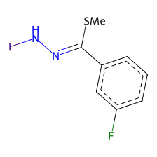 CSC(=NNI)c1cccc(F)c1